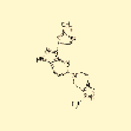 Cn1cc(-c2n[nH]c3ccc(N4CCn5cnc(C(F)(F)F)c5C4)nc23)cn1